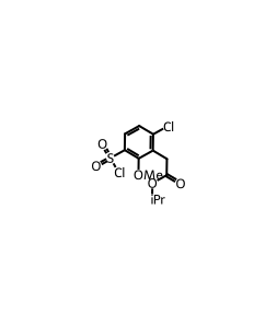 COc1c(S(=O)(=O)Cl)ccc(Cl)c1CC(=O)OC(C)C